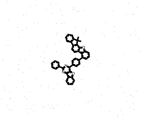 CC1(C)c2ccccc2-c2ccc3c(oc4cccc(-c5ccc(-c6nc(-c7ccccc7)nc7c6oc6ccccc67)cc5)c43)c21